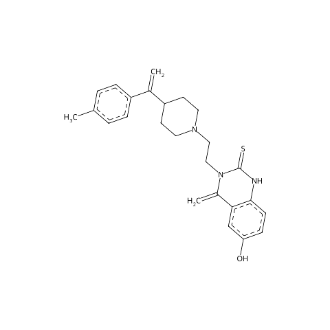 C=C(c1ccc(C)cc1)C1CCN(CCN2C(=C)c3cc(O)ccc3NC2=S)CC1